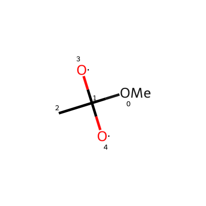 COC(C)([O])[O]